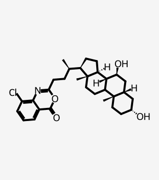 C[C@H](CCc1nc2c(Cl)cccc2c(=O)o1)[C@H]1CC[C@H]2[C@H]3C(CC[C@]12C)[C@@]1(C)CC[C@@H](O)C[C@H]1C[C@@H]3O